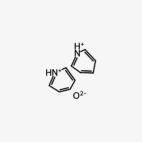 [O-2].c1cc[nH+]cc1.c1cc[nH+]cc1